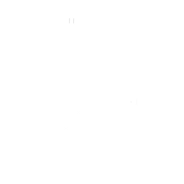 CSc1ccccc1-c1cc(F)c(-c2ccccc2O)cc1Cl